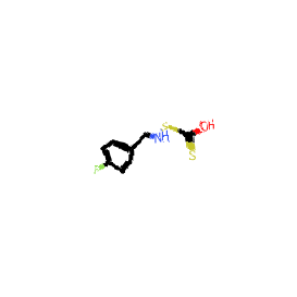 OC(=S)SNCc1ccc(F)cc1